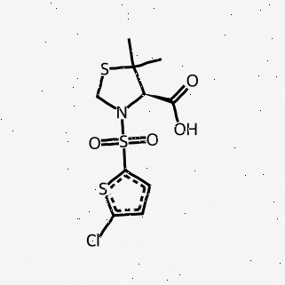 CC1(C)SCN(S(=O)(=O)c2ccc(Cl)s2)[C@@H]1C(=O)O